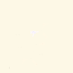 CCOC(=O)C(C)(C)C(=O)C(NC(=O)OCc1ccccc1)C(C)C